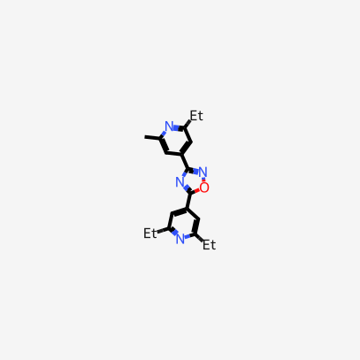 CCc1cc(-c2noc(-c3cc(CC)nc(CC)c3)n2)cc(C)n1